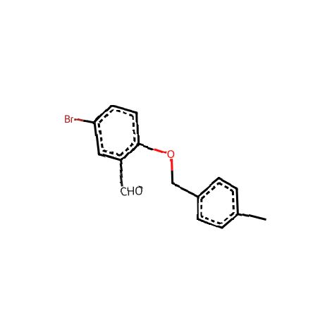 Cc1ccc(COc2ccc(Br)cc2C=O)cc1